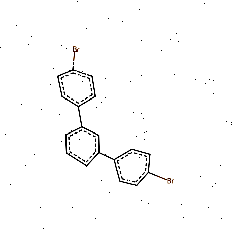 Brc1ccc(-c2cccc(-c3ccc(Br)cc3)c2)cc1